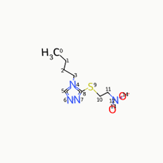 CCCCn1cnnc1SCC[N+](=O)[O-]